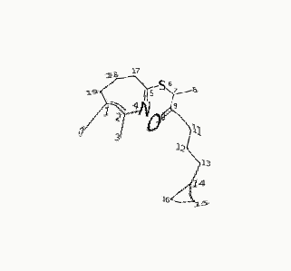 CC1=C(C)N=C(SC(C)C(=O)CCCC2CC2)CCC1